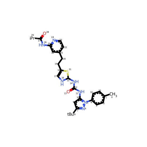 Cc1ccc(-n2nc(C(C)(C)C)cc2NC(=O)NC2NC=C(CCc3ccnc(NC(=O)C(C)C)c3)S2)cc1